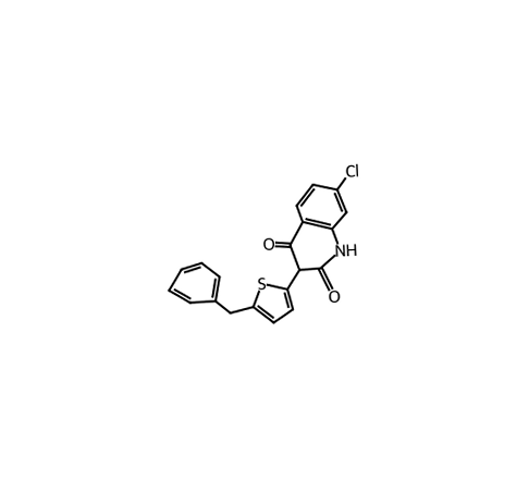 O=C1Nc2cc(Cl)ccc2C(=O)C1c1ccc(Cc2ccccc2)s1